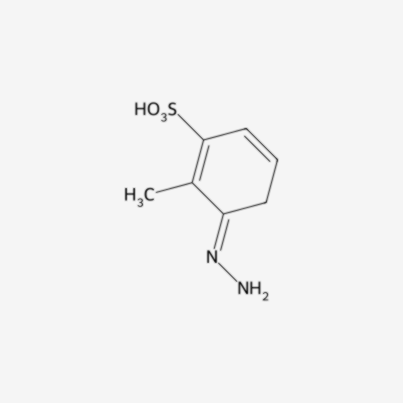 CC1=C(S(=O)(=O)O)C=CCC1=NN